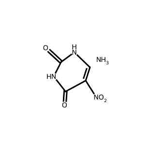 N.O=c1[nH]cc([N+](=O)[O-])c(=O)[nH]1